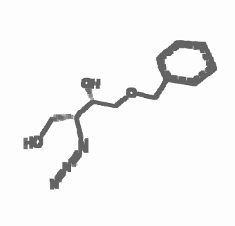 [N-]=[N+]=N[C@H](CO)[C@H](O)COCc1ccccc1